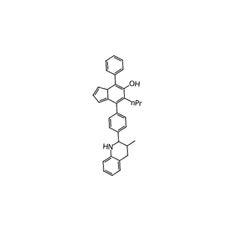 CCCC1=C(c2ccc(C3Nc4ccccc4CC3C)cc2)C2=CC=CC2C(c2ccccc2)=C1O